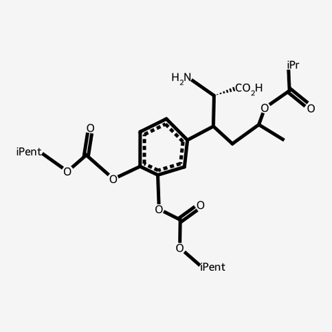 CCCC(C)OC(=O)Oc1ccc(C(CC(C)OC(=O)C(C)C)[C@H](N)C(=O)O)cc1OC(=O)OC(C)CCC